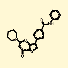 O=C(Nc1ccccc1)c1ccc(-c2csc3c(=O)cc(N4CCCCC4)oc23)cc1